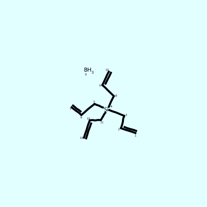 B.C=CC[Si](CC=C)(CC=C)CC=C